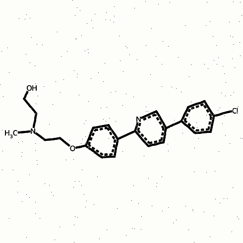 CN(CCO)CCOc1ccc(-c2ccc(-c3ccc(Cl)cc3)cn2)cc1